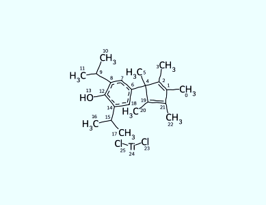 CC1=C(C)C(C)(c2cc(C(C)C)c(O)c(C(C)C)c2)C(C)=C1C.[Cl][Ti][Cl]